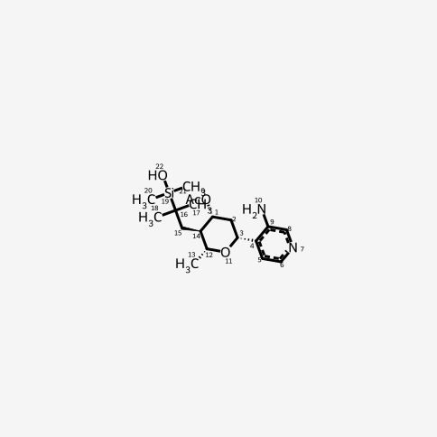 CC(=O)O[C@@H]1C[C@H](c2ccncc2N)O[C@H](C)[C@H]1CC(C)(C)[Si](C)(C)O